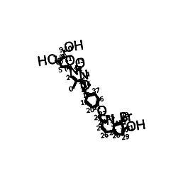 Cc1cn([C@H]2C[C@H](O)[C@@H](CO)O2)c(=O)nc1OCc1ccc(OCc2ccc3ccc(O)c(Br)c3n2)cc1